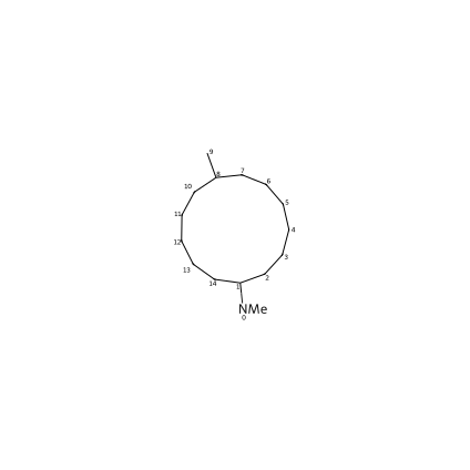 CNC1CCCCCCC(C)CCCCC1